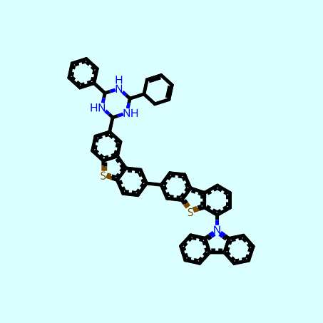 C1=CCC(C2NC(c3ccccc3)NC(c3ccc4sc5ccc(-c6ccc7c(c6)sc6c(-n8c9ccccc9c9ccccc98)cccc67)cc5c4c3)N2)C=C1